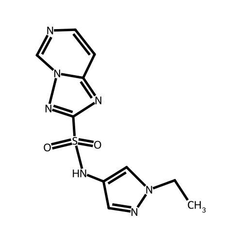 CCn1cc(NS(=O)(=O)c2nc3ccncn3n2)cn1